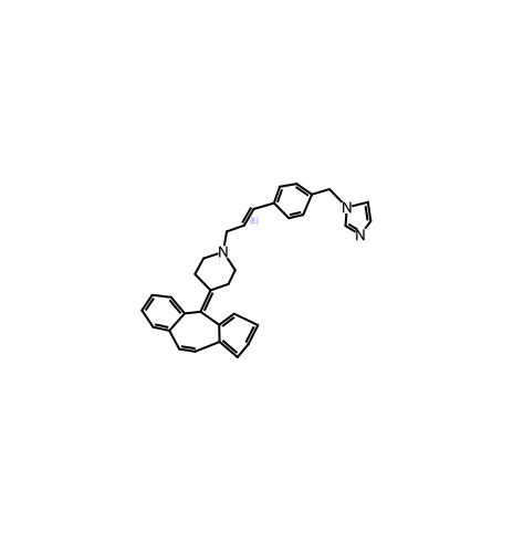 C1=Cc2ccccc2C(=C2CCN(C/C=C/c3ccc(Cn4ccnc4)cc3)CC2)c2ccccc21